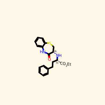 CCOC(=O)[C@H](CCc1ccccc1)N[C@H]1CSc2ccccc2NC1=O